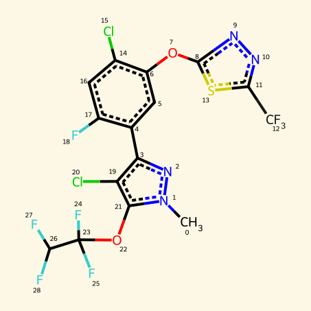 Cn1nc(-c2cc(Oc3nnc(C(F)(F)F)s3)c(Cl)cc2F)c(Cl)c1OC(F)(F)C(F)F